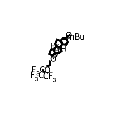 CCCCOc1ccc2c(c1)CC[C@@H]1[C@@H]2CC[C@]2(C)[C@@H](OCCCOC(C(F)(F)F)(C(F)(F)F)C(F)(F)F)CC[C@@H]12